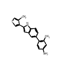 Cc1cc(N)ccc1-c1ccc2[nH]c(-c3cscc3C)cc2c1